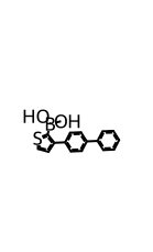 OB(O)c1sccc1-c1ccc(-c2ccccc2)cc1